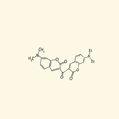 CCN(CC)c1ccc2cc(C(=O)c3cc4ccc(N(C)C)cc4oc3=O)c(=O)oc2c1